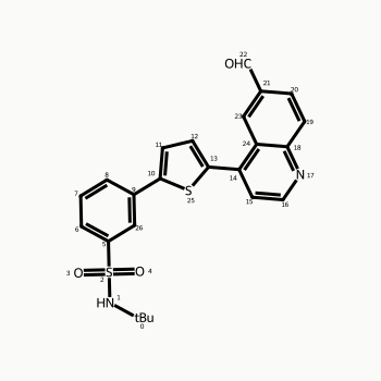 CC(C)(C)NS(=O)(=O)c1cccc(-c2ccc(-c3ccnc4ccc(C=O)cc34)s2)c1